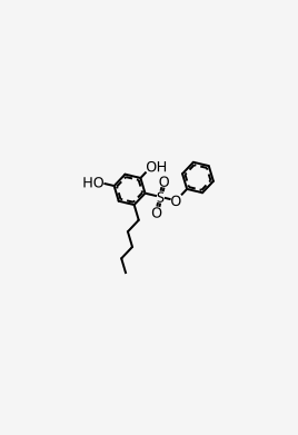 CCCCCc1cc(O)cc(O)c1S(=O)(=O)Oc1ccccc1